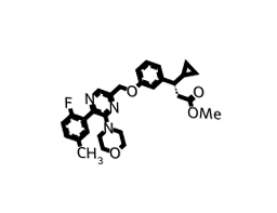 COC(=O)C[C@H](c1cccc(OCc2cnc(-c3cc(C)ccc3F)c(N3CCOCC3)n2)c1)C1CC1